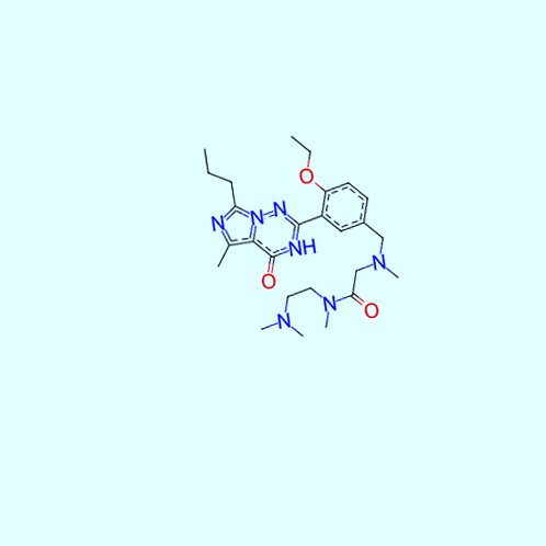 CCCc1nc(C)c2c(=O)[nH]c(-c3cc(CN(C)CC(=O)N(C)CCN(C)C)ccc3OCC)nn12